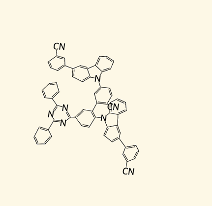 N#Cc1cccc(-c2ccc3c(c2)c2ccccc2n3-c2ccc(C#N)c(-c3cc(-c4nc(-c5ccccc5)nc(-c5ccccc5)n4)ccc3-n3c4ccccc4c4cc(-c5cccc(C#N)c5)ccc43)c2)c1